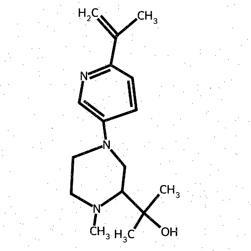 C=C(C)c1ccc(N2CCN(C)C(C(C)(C)O)C2)cn1